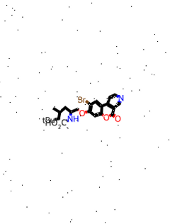 CC(CC(COc1cc2oc(=O)c3cnccc3c2cc1Br)NC(=O)O)CC(C)(C)C